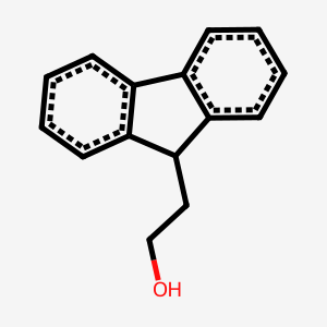 OCCC1c2ccccc2-c2ccccc21